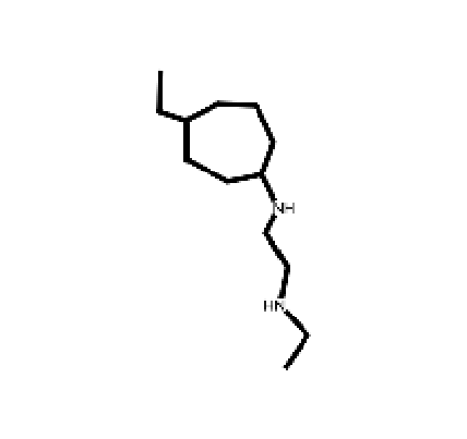 CCNCCNC1CCCC(CC)CC1